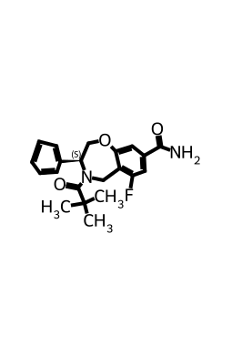 CC(C)(C)C(=O)N1Cc2c(F)cc(C(N)=O)cc2OC[C@@H]1c1ccccc1